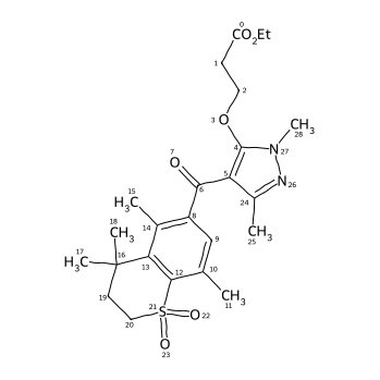 CCOC(=O)CCOc1c(C(=O)c2cc(C)c3c(c2C)C(C)(C)CCS3(=O)=O)c(C)nn1C